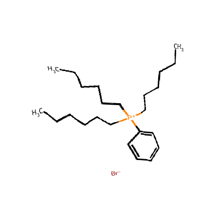 CCCCCC[P+](CCCCCC)(CCCCCC)c1ccccc1.[Br-]